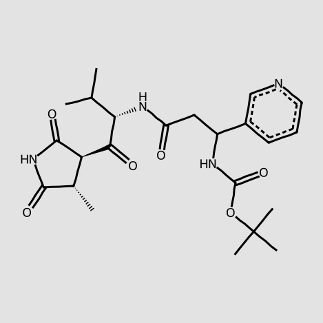 CC(C)[C@H](NC(=O)CC(NC(=O)OC(C)(C)C)c1cccnc1)C(=O)[C@@H]1C(=O)NC(=O)[C@H]1C